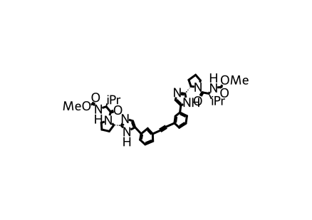 COC(=O)N[C@H](C(=O)N1CCC[C@H]1c1ncc(-c2cccc(C#Cc3cccc(-c4cnc([C@@H]5CCCN5C(=O)[C@@H](NC(=O)OC)C(C)C)[nH]4)c3)c2)[nH]1)C(C)C